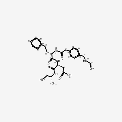 C[C@H](CS)NC(=O)[C@H](CC(=O)O)NC(=O)[C@H](CCc1ccccc1)NC(=O)Cc1ccc(CNC=O)cc1